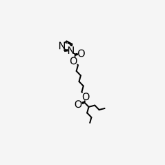 CCCC(CCC)C(=O)OCCCCCCOC(=O)n1ccnc1